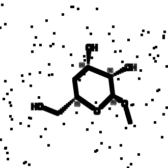 CO[C@H]1O[C@H](CO)C[C@H](O)[C@@H]1O